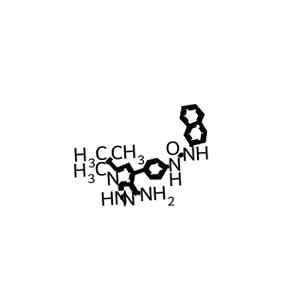 CC(C)(C)c1cc(-c2ccc(NC(=O)Nc3ccc4ccccc4c3)cc2)c2c(N)n[nH]c2n1